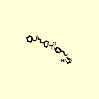 CN(CCC1CCN(C(=O)Oc2ccc(CCSc3ncc[nH]3)cc2)CC1)Cc1ccccc1